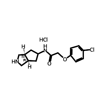 Cl.O=C(COc1ccc(Cl)cc1)NC1C[C@H]2CNC[C@H]2C1